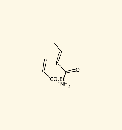 C=CC(=O)OCC.CC=NC(N)=O